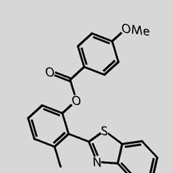 COc1ccc(C(=O)Oc2cccc(C)c2-c2nc3ccccc3s2)cc1